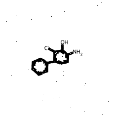 Nc1ccc(-c2ccccc2)c(Cl)c1O